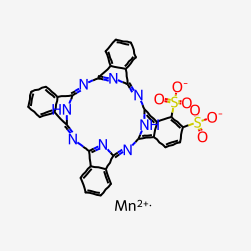 O=S(=O)([O-])c1ccc2c3nc4nc(nc5[nH]c(nc6nc(nc([nH]3)c2c1S(=O)(=O)[O-])-c1ccccc1-6)c1ccccc51)-c1ccccc1-4.[Mn+2]